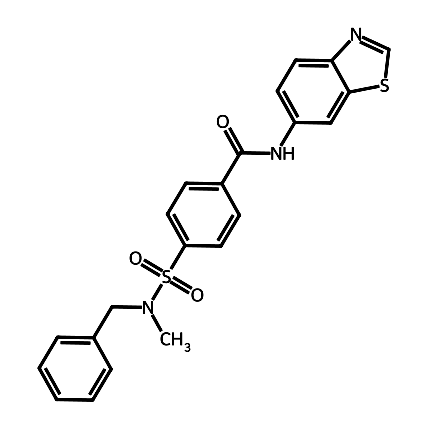 CN(Cc1ccccc1)S(=O)(=O)c1ccc(C(=O)Nc2ccc3ncsc3c2)cc1